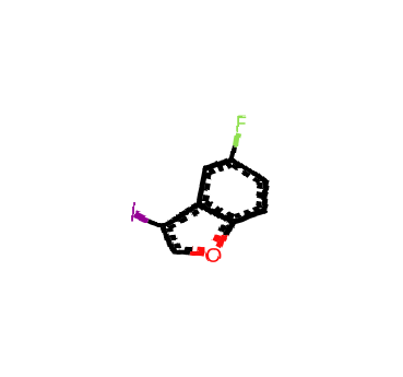 Fc1ccc2occ(I)c2c1